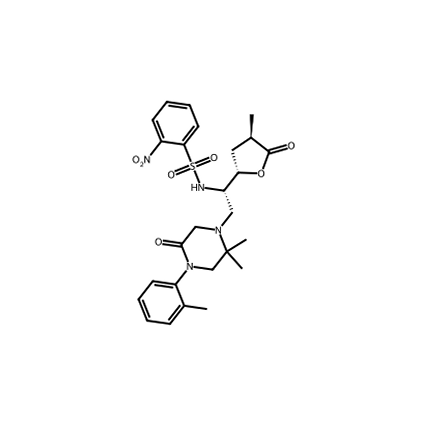 Cc1ccccc1N1CC(C)(C)N(C[C@H](NS(=O)(=O)c2ccccc2[N+](=O)[O-])[C@@H]2C[C@@H](C)C(=O)O2)CC1=O